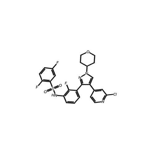 O=S(=O)(Nc1cccc(-c2nn(C3CCOCC3)cc2-c2ccnc(Cl)c2)c1F)c1cc(F)ccc1F